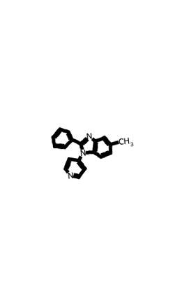 Cc1ccc2c(c1)nc(-c1ccccc1)n2-c1ccncc1